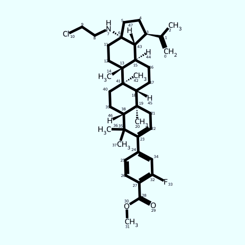 C=C(C)[C@@H]1CC[C@]2(NCCCl)CC[C@]3(C)[C@H](CC[C@@H]4[C@@]5(C)CC=C(c6ccc(C(=O)OC)c(F)c6)C(C)(C)[C@@H]5CC[C@]43C)[C@@H]12